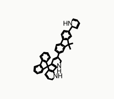 CC1(C)c2cc(C3=CC4=C(NC3)C3=C(C=CCN3)C43c4ccccc4-c4ccccc43)ccc2-c2ccc(C3C=CC=CN3)cc21